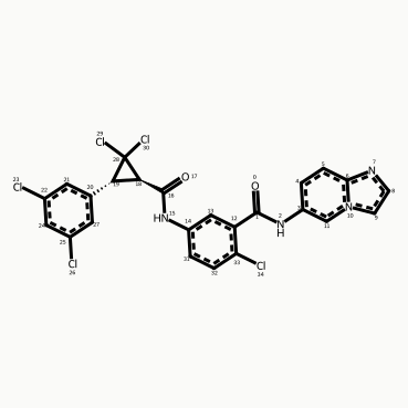 O=C(Nc1ccc2nccn2c1)c1cc(NC(=O)[C@H]2[C@H](c3cc(Cl)cc(Cl)c3)C2(Cl)Cl)ccc1Cl